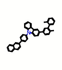 Cc1ccccc1-c1cc(-c2ccc3c(c2)c2ccccc2n3-c2ccc(-c3ccc4ccccc4c3)cc2)ccc1C